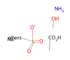 CC(=O)O.CCCCCS(=O)(=O)[O-].CO.N.[Na+]